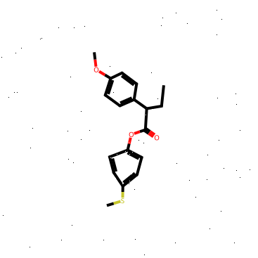 CCC(C(=O)Oc1ccc(SC)cc1)c1ccc(OC)cc1